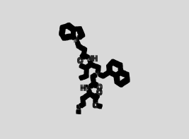 CCC(C)C(CN(CC(=O)NC(CCSC)C(=O)OC)Cc1cccc2ccccc12)NC(=O)CCn1ccc2ccccc21